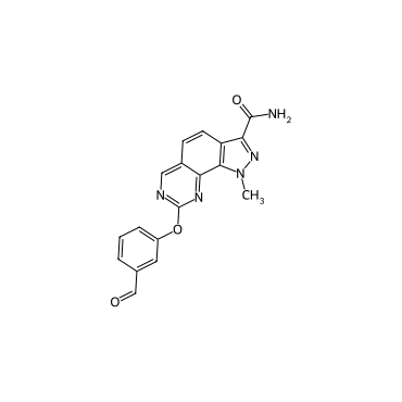 Cn1nc(C(N)=O)c2ccc3cnc(Oc4cccc(C=O)c4)nc3c21